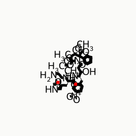 CC[C@H](C)[C@](C(=O)OC)(c1ccccc1)N(C(=O)CC(O)[C@H](Cc1ccc([N+](=O)[O-])cc1)NC(=O)[C@H](Cc1c[nH]cn1)NC(=O)CN)C(=O)OC(C)(C)C